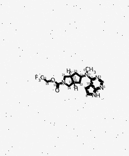 CN(c1ncnc2[nH]ccc12)C1C[C@@H]2CN(C(=O)OCC(F)(F)F)C[C@H]2C1